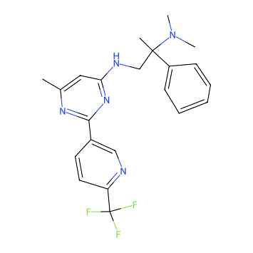 Cc1cc(NCC(C)(c2ccccc2)N(C)C)nc(-c2ccc(C(F)(F)F)nc2)n1